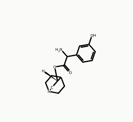 NC(C(=O)O[C@H]1CN2CCC1CC2)c1cccc(O)c1